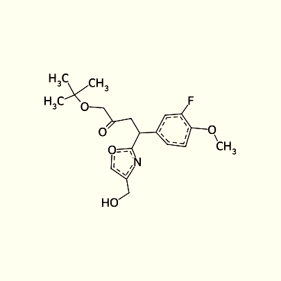 COc1ccc(C(CC(=O)COC(C)(C)C)c2nc(CO)co2)cc1F